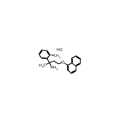 Cc1ccccc1C(C)(N)CCOc1cccc2ccccc12.Cl